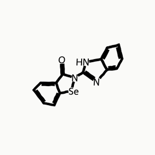 O=c1c2ccccc2[se]n1-c1nc2ccccc2[nH]1